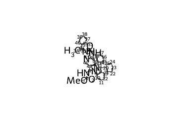 COC(=O)Nc1nn(C(c2ccccc2)(c2ccccc2)c2ccccc2)c2cc(NC(=O)N[C@H](C)c3ccccc3)ncc12